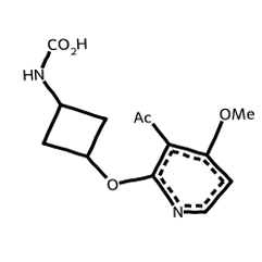 COc1ccnc(OC2CC(NC(=O)O)C2)c1C(C)=O